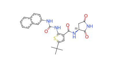 CC(C)(C)c1cc(C(=O)N[C@H]2CC(=O)NC2=O)c(NC(=O)Nc2ccc3ccccc3c2)s1